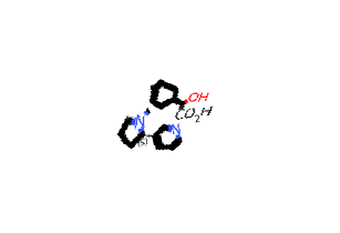 CN1CCC[C@H]1c1cccnc1.O=C(O)C(O)c1ccccc1